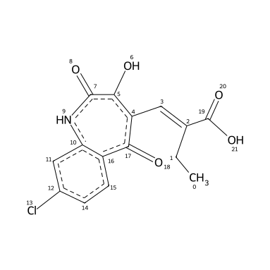 CCC(=Cc1c(O)c(=O)[nH]c2cc(Cl)ccc2c1=O)C(=O)O